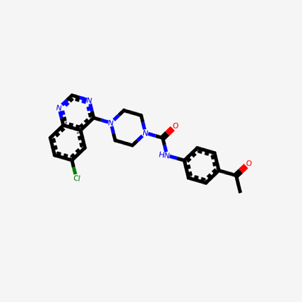 CC(=O)c1ccc(NC(=O)N2CCN(c3ncnc4ccc(Cl)cc34)CC2)cc1